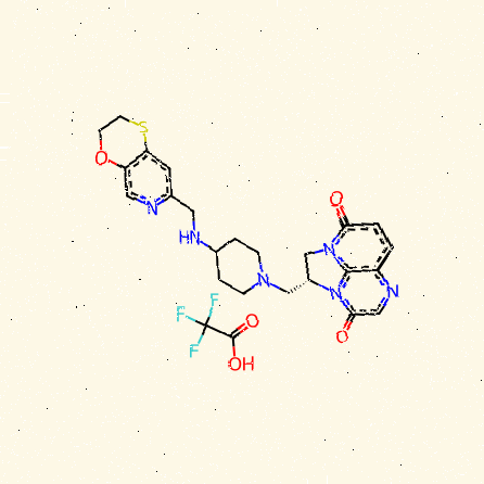 O=C(O)C(F)(F)F.O=c1ccc2ncc(=O)n3c2n1C[C@H]3CN1CCC(NCc2cc3c(cn2)OCCS3)CC1